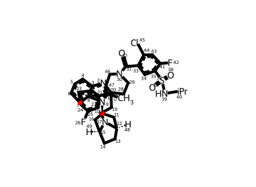 Cc1nc2ccccc2n1[C@H]1C[C@H]2CC[C@@H](C1)N2CCC1(c2cccc(F)c2)CCN(C(=O)c2cc(S(=O)(=O)NC(C)C)c(F)cc2Cl)CC1